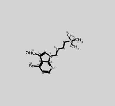 CS(C)(C)CCOCn1cc(C=O)c2c(Br)ccnc21